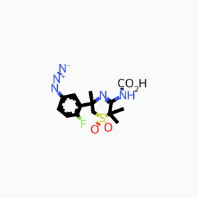 CC1(c2cc(N=[N+]=[N-])ccc2F)CS(=O)(=O)C(C)(C)C(NC(=O)O)=N1